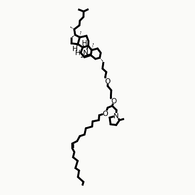 CCCCCCCC/C=C\CCCCCCCCOCC(CN1CCCC1C)OCCCOCCCC[C@H]1CC[C@@]2(C)C(=CC[C@H]3[C@@H]4CC[C@H]([C@H](C)CCCC(C)C)[C@@]4(C)CC[C@@]32N)C1